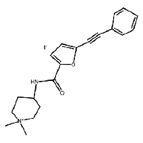 C[N+]1(C)CCC(NC(=O)c2ccc(C#Cc3ccccc3)o2)CC1.[I-]